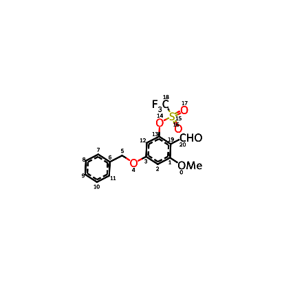 COc1cc(OCc2ccccc2)cc(OS(=O)(=O)C(F)(F)F)c1C=O